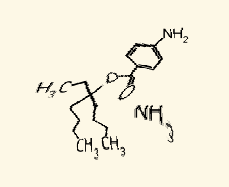 CCCCC(CC)(CCCC)OC(=O)c1ccc(N)cc1.N